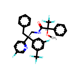 CO[C@](C(=O)NC[C@@](Cc1ccccc1)(c1cc(F)cc(C(F)(F)F)c1)c1ccc(F)cn1)(c1ccccc1)C(F)(F)F